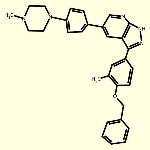 Cc1cc(-c2n[nH]c3ncc(-c4ccc(N5CCN(C)CC5)cc4)cc23)ccc1OCc1ccccc1